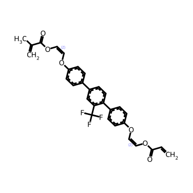 C=CC(=O)O/C=C\Oc1ccc(-c2ccc(-c3ccc(O/C=C\OC(=O)C(=C)C)cc3)cc2C(F)(F)F)cc1